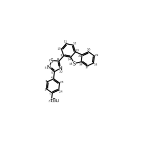 CC(C)(C)c1ccc(-c2nsc(-c3cccc4c3sc3ccccc34)n2)cc1